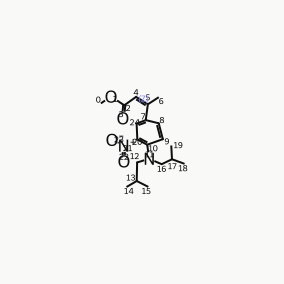 COC(=O)/C=C(/C)c1ccc(N(CC(C)C)CC(C)C)c([N+](=O)[O-])c1